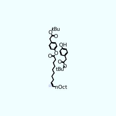 CC(C)(C)OC(=O)Cc1ccc(O)cc1.CCCCCCCC/C=C\CCCCCCCC(=O)Oc1ccc(CC(=O)OC(C)(C)C)cc1